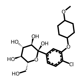 COC1CCC(Oc2cc([C@]3(O)O[C@H](CO)[C@@H](O)[C@H](O)[C@H]3O)ccc2Cl)CC1